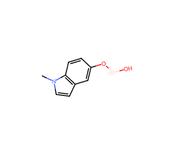 Cn1ccc2cc(OBO)ccc21